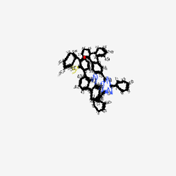 c1ccc(-c2nc(-c3ccccc3)nc(-c3cc4c5ccccc5c5ccccc5c4cc3-n3c4ccccc4c4cccc(-c5cccc6c5sc5ccccc56)c43)n2)cc1